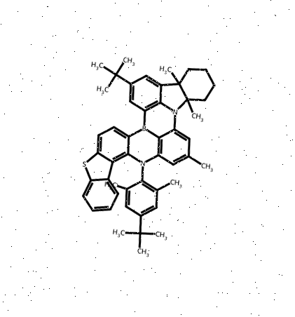 Cc1cc2c3c(c1)N1c4c(cc(C(C)(C)C)cc4C4(C)CCCCC14C)B3c1ccc3sc4ccccc4c3c1N2c1c(C)cc(C(C)(C)C)cc1C